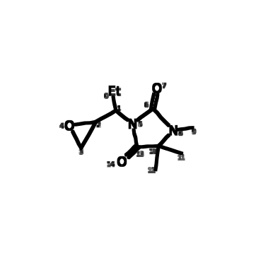 CCC(C1CO1)N1C(=O)N(C)C(C)(C)C1=O